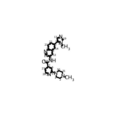 CN1CCN(c2cc(C(=O)Nc3cc4cc(-c5cncn5C)ccc4nn3)ccn2)CC1